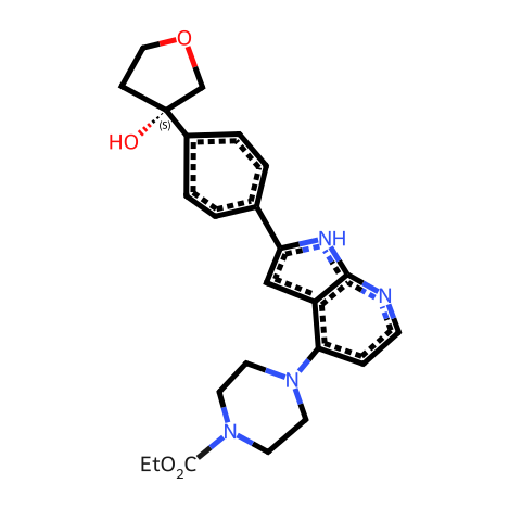 CCOC(=O)N1CCN(c2ccnc3[nH]c(-c4ccc([C@@]5(O)CCOC5)cc4)cc23)CC1